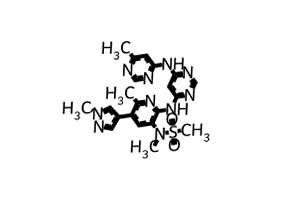 Cc1cc(Nc2cc(Nc3nc(C)c(-c4cnn(C)c4)cc3N(C)S(C)(=O)=O)ncn2)ncn1